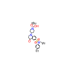 CCc1ccc(N(CC(C)C)S(=O)(=O)c2ccc3c(c2)C(=O)CCN3C2CCN(C(O)OC(C)(C)C)CC2)cc1